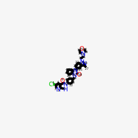 Cc1ncc(Cl)cc1C(=O)NC1CCC(Cn2c(=O)n(-c3ccc4c(c3)c(C)nn4CCN3CCOCC3)c3ccccc32)CC1